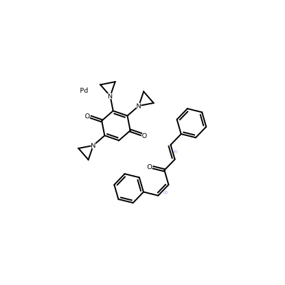 O=C(/C=C\c1ccccc1)/C=C/c1ccccc1.O=C1C=C(N2CC2)C(=O)C(N2CC2)=C1N1CC1.[Pd]